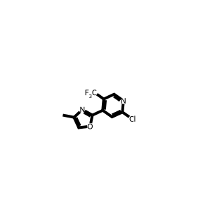 Cc1coc(-c2cc(Cl)ncc2C(F)(F)F)n1